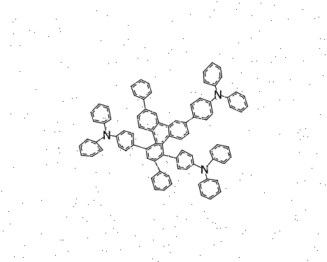 c1ccc(-c2ccc3c(c2)c2cc(-c4ccc(N(c5ccccc5)c5ccccc5)cc4)ccc2c2c(-c4ccc(N(c5ccccc5)c5ccccc5)cc4)c(-c4ccccc4)cc(-c4ccc(N(c5ccccc5)c5ccccc5)cc4)c32)cc1